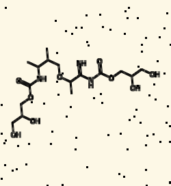 CC(OCC(C)C(C)NC(=O)OCC(O)CO)C(=N)NC(=O)OCC(O)CO